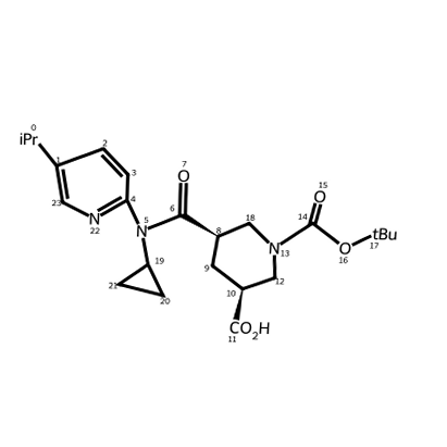 CC(C)c1ccc(N(C(=O)[C@@H]2C[C@H](C(=O)O)CN(C(=O)OC(C)(C)C)C2)C2CC2)nc1